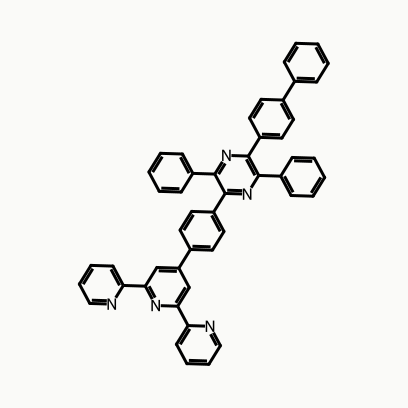 c1ccc(-c2ccc(-c3nc(-c4ccccc4)c(-c4ccc(-c5cc(-c6ccccn6)nc(-c6ccccn6)c5)cc4)nc3-c3ccccc3)cc2)cc1